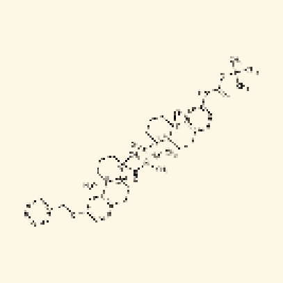 CN(C(=O)[C@@]1(C)CCC[C@]2(C)c3cc(OCc4ccccc4)ccc3CC[C@@H]12)C(=O)[C@@]1(C)CCC[C@]2(C)c3cc(NC(=O)OC(C)(C)C)ccc3CC[C@@]12C